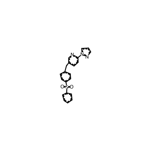 O=S(=O)(c1ccccc1)c1ccc([CH]c2ccc(-n3cccn3)nc2)cc1